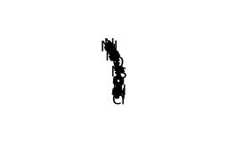 Clc1ccc(N2CCC(c3nc(COc4ccc(-n5cnnn5)nc4)cs3)CC2)nn1